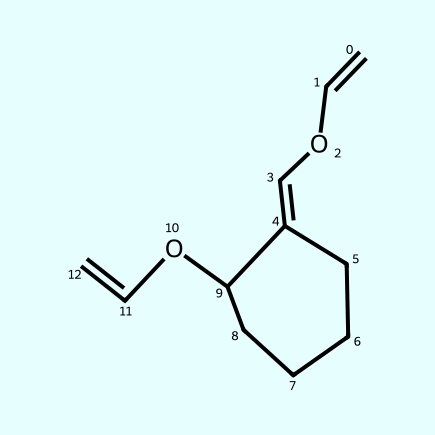 C=COC=C1CCCCC1OC=C